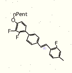 CCCCCOc1ccc(-c2ccc(/C=C/c3ccc(C)cc3F)cc2)c(F)c1F